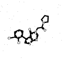 O=C(Cn1cnc2scc(-c3cccc(Cl)c3Cl)c2c1=O)N1CCCC1